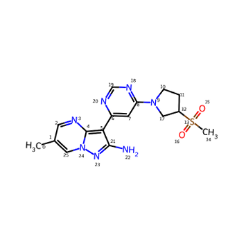 Cc1cnc2c(-c3cc(N4CCC(S(C)(=O)=O)C4)ncn3)c(N)nn2c1